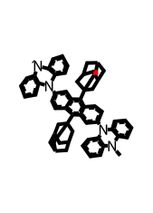 CN1c2ccccc2N(c2ccc3c(C45CC6CC(CC(C6)C4)C5)c4cc(N5c6ccccc6N(C)c6ccccc65)ccc4c(C45CC6CC(CC(C6)C4)C5)c3c2)c2ccccc21